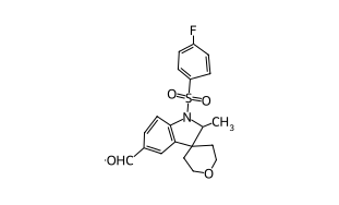 CC1N(S(=O)(=O)c2ccc(F)cc2)c2ccc([C]=O)cc2C12CCOCC2